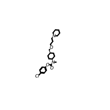 CN(C(=O)Oc1ccc(Cl)cc1)[C@H]1CC[C@H](COCCCN2CCCCC2)CC1